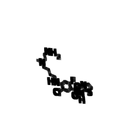 CN(CCN)CCCCNc1cc(F)c(S(=O)(=O)Nc2nccs2)cc1Cl